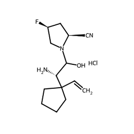 C=CC1([C@H](N)C(O)N2C[C@@H](F)C[C@H]2C#N)CCCC1.Cl